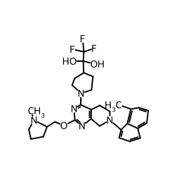 Cc1cccc2cccc(N3CCc4c(nc(OCC5CCCN5C)nc4N4CCC(C(O)(O)C(F)(F)F)CC4)C3)c12